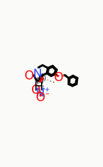 C[C@H]1CC23c4cc(OCc5ccccc5)ccc4CCN2C(=O)C[C@H]3[C@@H]1C[N+](=O)[O-]